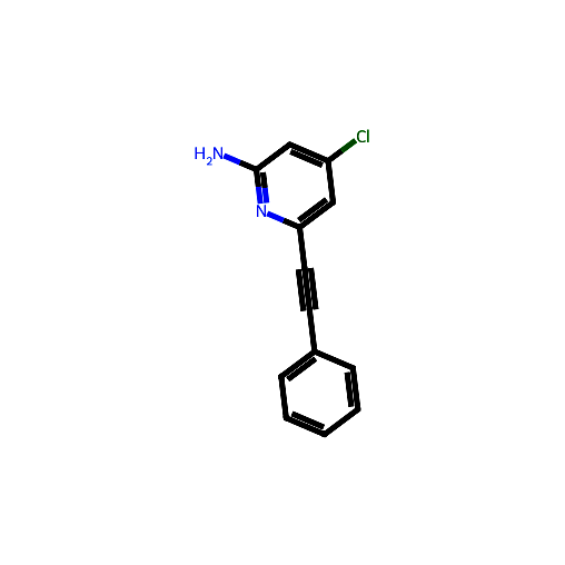 Nc1cc(Cl)cc(C#Cc2ccccc2)n1